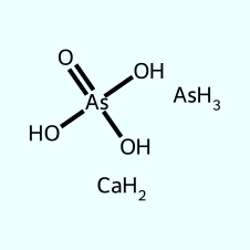 O=[As](O)(O)O.[AsH3].[CaH2]